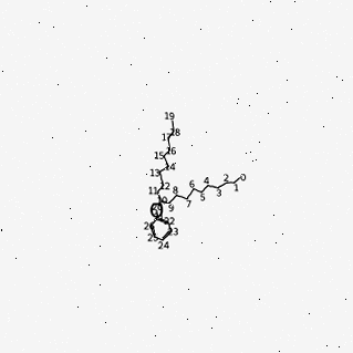 CCCCCCCCCCC(CCCCCCCCC)Oc1ccccc1